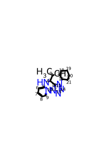 CC(C)C(Nc1ccccn1)c1nnnn1C1CCCCC1